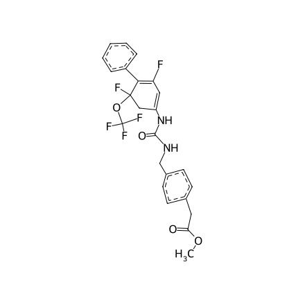 COC(=O)Cc1ccc(CNC(=O)NC2=CC(F)=C(c3ccccc3)C(F)(OC(F)(F)F)C2)cc1